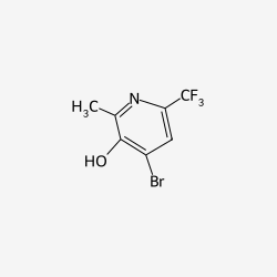 Cc1nc(C(F)(F)F)cc(Br)c1O